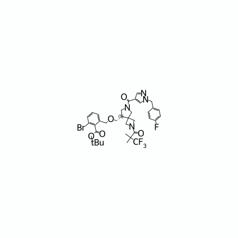 CC(C)(C)OC(=O)c1c(Br)cccc1COC[C@@H]1CN(C(=O)c2cnn(Cc3ccc(F)cc3)c2)CC12CN(C(=O)C(C)(C)C(F)(F)F)C2